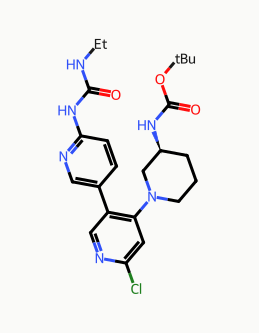 CCNC(=O)Nc1ccc(-c2cnc(Cl)cc2N2CCC[C@H](NC(=O)OC(C)(C)C)C2)cn1